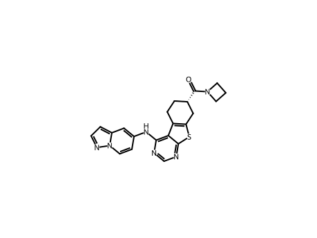 O=C([C@H]1CCc2c(sc3ncnc(Nc4ccn5nccc5c4)c23)C1)N1CCC1